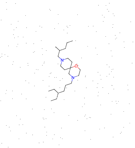 CCCC(C)CN1CCC2(CC1)CN(CCCC(CC)CC)CCO2